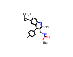 CCCc1nc2ccc(C3CC3C(=O)O)cc2c(-c2ccc(C)cc2)c1CNC(=O)OC(C)(C)C